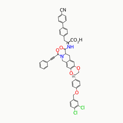 N#Cc1ccc(-c2ccc(C[C@H](NC(=O)C3Cc4cc5c(cc4CN3C(=O)C#Cc3ccccc3)O[C@@H](c3ccc(OCc4ccc(Cl)c(Cl)c4)cc3)CO5)C(=O)O)cc2)cc1